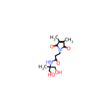 CC1=C(C)C(=O)N(CCC(=O)NC(C)(CO)CO)C1=O